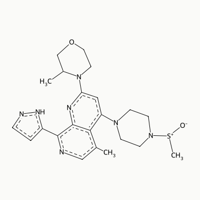 Cc1cnc(-c2ccn[nH]2)c2nc(N3CCOCC3C)cc(N3CCN([S+](C)[O-])CC3)c12